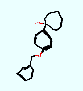 OC1(c2ccc(OCc3ccccc3)cc2)CCCCCC1